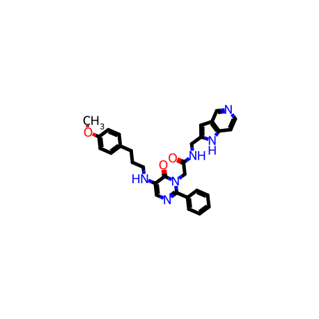 COc1ccc(CCCNc2cnc(-c3ccccc3)n(CC(=O)NCc3cc4cnccc4[nH]3)c2=O)cc1